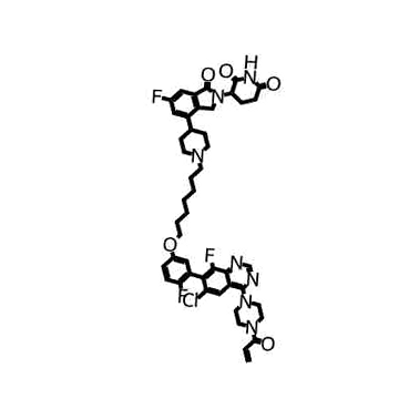 C=CC(=O)N1CCN(c2ncnc3c(F)c(-c4cc(OCCCCCCCN5CCC(c6cc(F)cc7c6CN(C6CCC(=O)NC6=O)C7=O)CC5)ccc4F)c(Cl)cc23)CC1